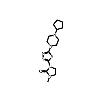 CN1CCN(c2nnc(N3CCN(C4CCCC4)CC3)s2)C1=O